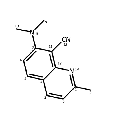 Cc1ccc2ccc(N(C)C)c(C#N)c2n1